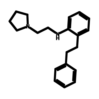 c1ccc(CCc2ccccc2NCCN2CCCC2)cc1